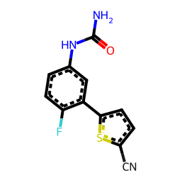 N#Cc1ccc(-c2cc(NC(N)=O)ccc2F)s1